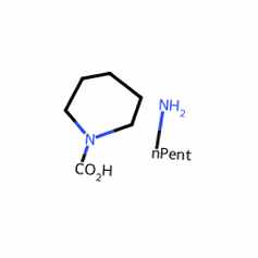 CCCCCN.O=C(O)N1CCCCC1